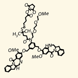 COCCOCCOCCN(C(=O)CCC(C)(C)SSCCCC(=O)ON1C(=O)CCC1=O)c1cc(COc2cc3c(cc2OC)C(=O)N2c4ccccc4C[C@H]2C=N3)cc(COc2cc3c(cc2OC)C(=O)N2c4ccccc4CC2CN3)c1